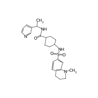 CC(NC(=O)C1CCC(NS(=O)(=O)c2ccc3c(c2)N(C)CCC3)CC1)c1cccnc1